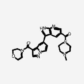 CN1CCN(C(=O)c2cnc3[nH]cc(-c4ccn5ncc(C(=O)N6CCOCC6)c5c4)c3c2)CC1